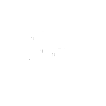 CC[C@@H](N)CNc1nc(-c2cc(Cl)ccc2O)ncc1-c1ccco1